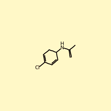 C=C(C)NC1C=CC(Cl)=CC1